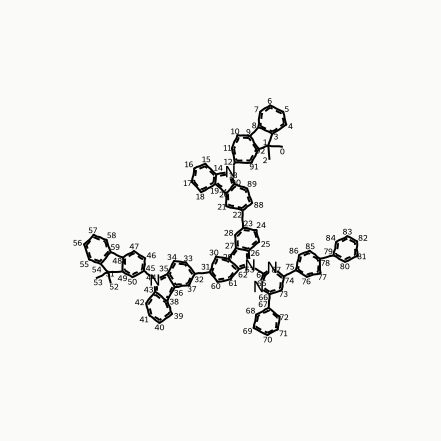 CC1(C)c2ccccc2-c2ccc(-n3c4ccccc4c4cc(-c5ccc6c(c5)c5cc(-c7ccc8c(c7)c7ccccc7n8-c7ccc8c(c7)C(C)(C)c7ccccc7-8)ccc5n6-c5nc(-c6ccccc6)cc(-c6ccc(-c7ccccc7)cc6)n5)ccc43)cc21